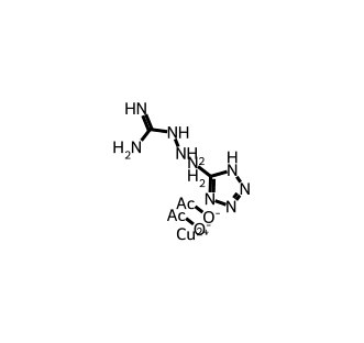 CC(=O)[O-].CC(=O)[O-].N=C(N)NN.Nc1nnn[nH]1.[Cu+2]